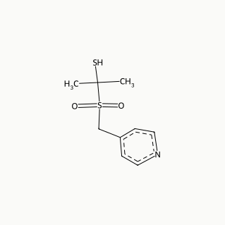 CC(C)(S)S(=O)(=O)Cc1ccncc1